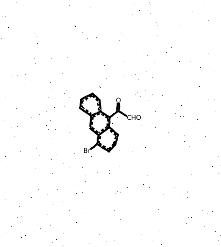 O=CC(=O)c1c2ccccc2cc2c(Br)cccc12